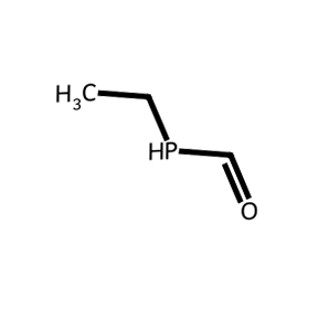 CCPC=O